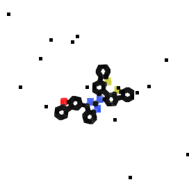 c1ccc2c(-c3ccc4oc5ccccc5c4c3)nc(-n3c4ccc5c6ccccc6sc5c4c4c5sc6ccccc6c5ccc43)nc2c1